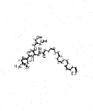 CC/C=C\C/C=C\C/C=C\C/C=C\C/C=C\C/C=C\CCC(=O)NCC(NC(=O)c1c[n+]([O-])c(C)cn1)C(=O)OCC(CO)CO